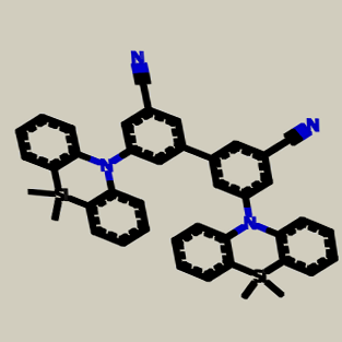 C[Si]1(C)c2ccccc2N(c2cc(C#N)cc(-c3cc(C#N)cc(N4c5ccccc5[Si](C)(C)c5ccccc54)c3)c2)c2ccccc21